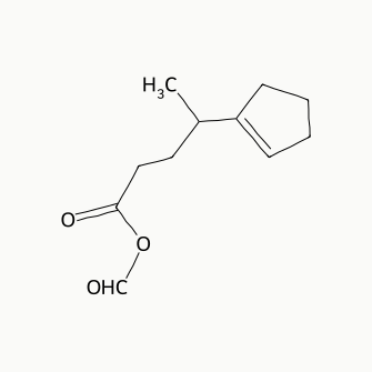 CC(CCC(=O)OC=O)C1=CCCC1